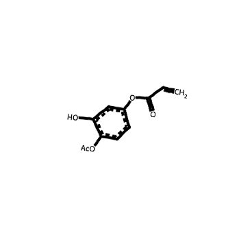 C=CC(=O)Oc1ccc(OC(C)=O)c(O)c1